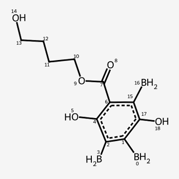 Bc1c(B)c(O)c(C(=O)OCCCCO)c(B)c1O